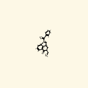 CC(=O)CC1CC2CN(C(=O)c3ccccc3)c3cccc(c32)C1=O